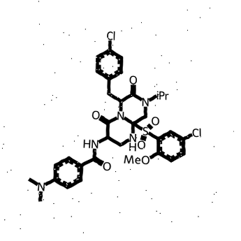 COc1ccc(Cl)cc1S(=O)(=O)C12CN(C(C)C)C(=O)C(Cc3ccc(Cl)cc3)N1C(=O)C(NC(=O)c1ccc(N(C)C)cc1)CN2